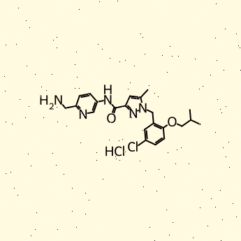 Cc1cc(C(=O)Nc2ccc(CN)nc2)nn1Cc1cc(Cl)ccc1OCC(C)C.Cl